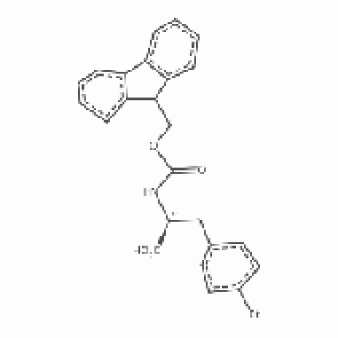 CCc1ccc(C[C@H](NC(=O)OCC2c3ccccc3-c3ccccc32)C(=O)O)cc1